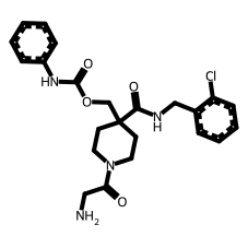 NCC(=O)N1CCC(COC(=O)Nc2ccccc2)(C(=O)NCc2ccccc2Cl)CC1